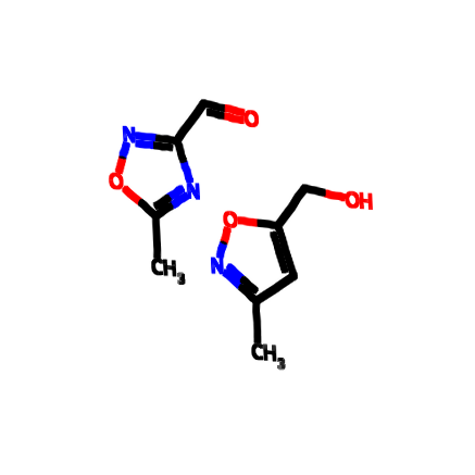 Cc1cc(CO)on1.Cc1nc(C=O)no1